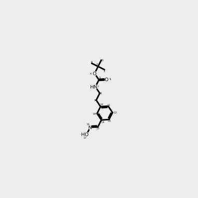 CC(C)(C)OC(=O)NCCc1cccc(C=NO)c1